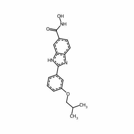 CC(C)COc1cccc(-c2nc3ccc(C(=O)NO)cc3[nH]2)c1